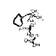 C[N+](C)(C)Cc1ccccc1.O=[Si](O)O.O=[Si]([O-])O